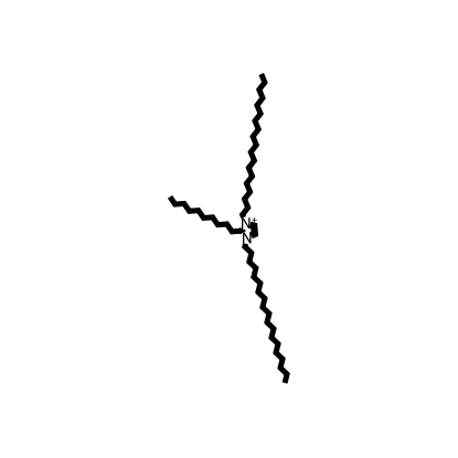 CCCCCCCCCCCCCCCCCCCn1cc[n+](CCCCCCCCCCCCCCCCCCC)c1CCCCCCCCCC